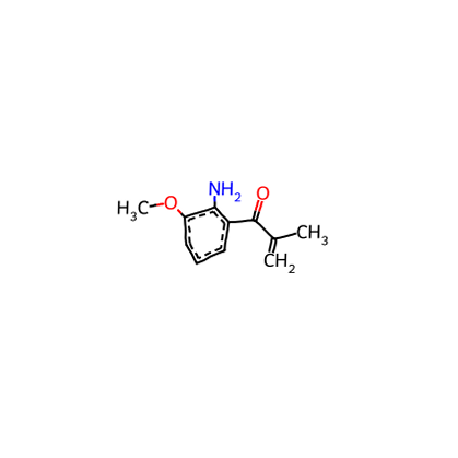 C=C(C)C(=O)c1cccc(OC)c1N